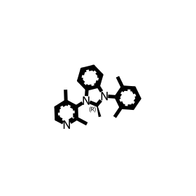 Cc1cccc(C)c1N1c2ccccc2N(c2c(C)ccnc2C)[C@@H]1C